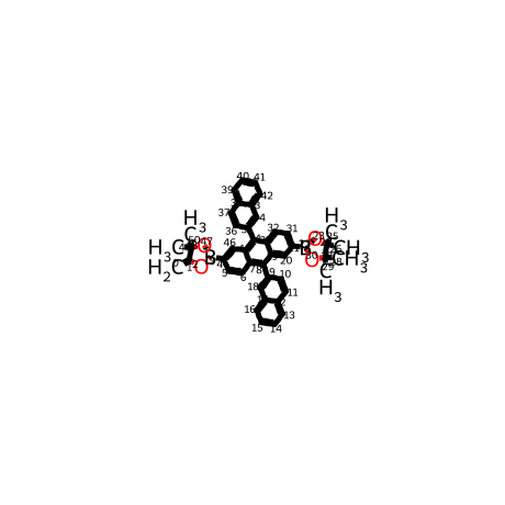 C=C1OB(c2ccc3c(-c4ccc5ccccc5c4)c4cc(B5OC(C)(C)C(C)(C)O5)ccc4c(-c4ccc5ccccc5c4)c3c2)OC1(C)C